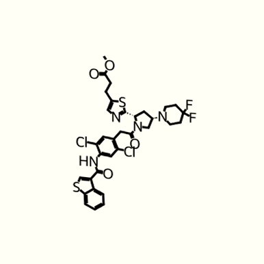 COC(=O)CCc1cnc([C@@H]2C[C@H](N3CCC(F)(F)CC3)CN2C(=O)Cc2cc(Cl)c(NC(=O)c3csc4ccccc34)cc2Cl)s1